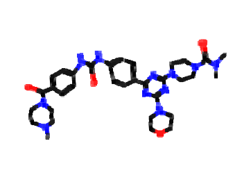 CN1CCN(C(=O)c2ccc(NC(=O)Nc3ccc(-c4nc(N5CCOCC5)nc(N5CCN(C(=O)N(C)C)CC5)n4)cc3)cc2)CC1